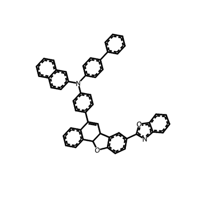 C1=C(c2ccc(N(c3ccc(-c4ccccc4)cc3)c3ccc4ccccc4c3)cc2)c2ccccc2C2Oc3ccc(-c4nc5ccccc5o4)cc3C12